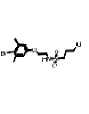 Cc1cc(OCCNS(=O)(=O)CCCCl)cc(C)c1Br